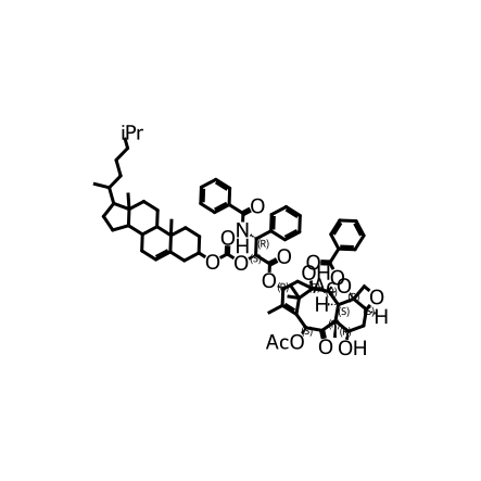 CC(=O)O[C@@H]1C(=O)[C@@]2(C)[C@H](O)C[C@@H]3OC[C@]3(OC(C)=O)[C@@H]2[C@@H](OC(=O)c2ccccc2)[C@@]2(O)C[C@@H](OC(=O)[C@@H](OC(=O)OC3CCC4(C)C(=CCC5C4CCC4(C)C(C(C)CCCC(C)C)CCC54)C3)[C@H](NC(=O)c3ccccc3)c3ccccc3)C(C)=C1C2(C)C